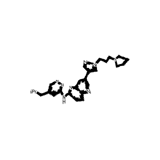 CC(C)Cc1cnnc(Nc2ccc3ncc(-c4cnn(CCCN5CCCC5)c4)cc3n2)c1